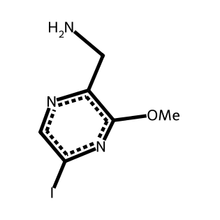 COc1nc(I)cnc1CN